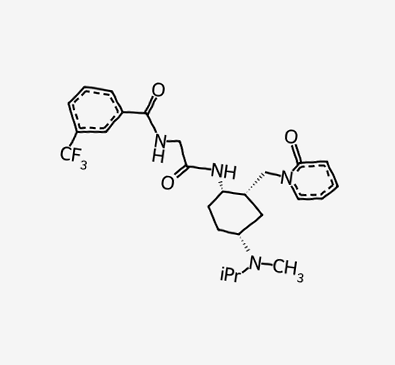 CC(C)N(C)[C@@H]1CC[C@H](NC(=O)CNC(=O)c2cccc(C(F)(F)F)c2)[C@H](Cn2ccccc2=O)C1